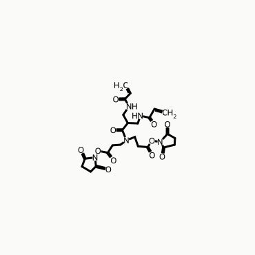 C=CC(=O)NCC(CNC(=O)C=C)C(=O)N(CCC(=O)ON1C(=O)CCC1=O)CCC(=O)ON1C(=O)CCC1=O